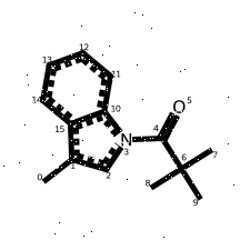 Cc1cn(C(=O)C(C)(C)C)c2ccccc12